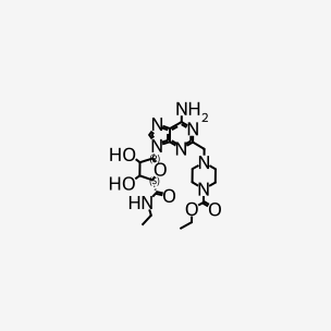 CCNC(=O)[C@H]1O[C@@H](n2cnc3c(N)nc(CN4CCN(C(=O)OCC)CC4)nc32)C(O)C1O